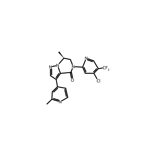 Cc1cc(-c2cnn3c2C(=O)N(c2cc(Cl)c(C(F)(F)F)cn2)C[C@@H]3C)ccn1